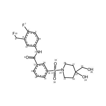 O=C(Nc1ccc(F)c(CF)c1)c1cccc(S(=O)(=O)N2CCC(O)(CO)CC2)c1